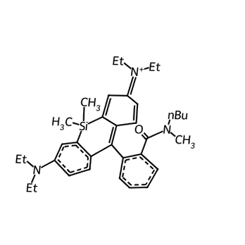 CCCCN(C)C(=O)c1ccccc1C1=C2C=CC(=[N+](CC)CC)C=C2[Si](C)(C)c2cc(N(CC)CC)ccc21